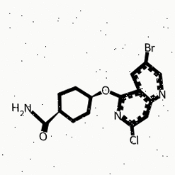 NC(=O)[C@H]1CC[C@@H](Oc2nc(Cl)cc3ncc(Br)cc23)CC1